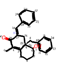 CC1=C2CCC[C@H](O)[C@@]2(Cc2ccccc2)C/C(=C\c2ccccc2)C1=O